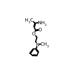 CC(N)=CC(=O)OCCN(C)c1ccccc1